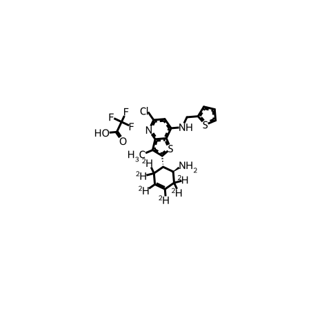 O=C(O)C(F)(F)F.[2H]C1=C([2H])C([2H])([2H])[C@H](c2sc3c(NCc4cccs4)cc(Cl)nc3c2C)[C@@H](N)C1([2H])[2H]